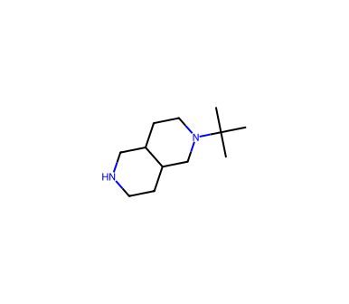 CC(C)(C)N1CCC2CNCCC2C1